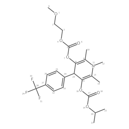 COCCOC(=O)OC1=C(C)N(C)C(C)=C(OC(=O)OC(C)C)C1c1ccc(C(F)(F)F)cc1